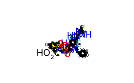 Cc1cc(C)c(N(C(CNC(=O)c2cn(CCc3ccccc3)c3c(F)c(CNc4nc(C)c[nH]4)c(F)cc3c2=O)C(=O)O)[SH](=O)=O)c(C)c1